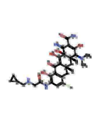 CN(C)[C@@H]1C(O)=C(C(N)=O)C(=N)[C@@]2(O)C(O)=C3C(=O)c4c(O)c(NC(=O)CNCC5CC5)cc(F)c4C[C@H]3C[C@@H]12